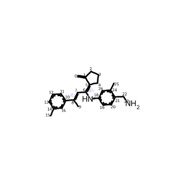 C=C1CCC/C1=C(/C=C(\C)c1cccc(C)c1)Nc1ccc(CN)c(C)c1